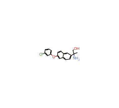 CC(N)(CO)c1ccc2cc(Oc3cccc(Cl)c3)ccc2c1